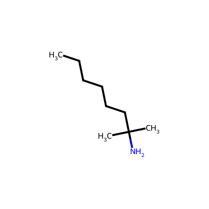 CCCCCCC(C)(C)N